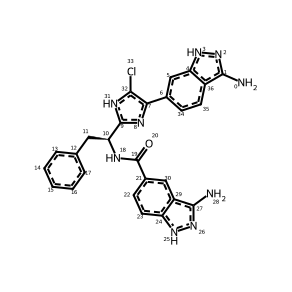 Nc1n[nH]c2cc(-c3nc([C@H](Cc4ccccc4)NC(=O)c4ccc5[nH]nc(N)c5c4)[nH]c3Cl)ccc12